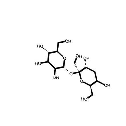 OCC1O[C@H](O[C@]2(CO)O[C@H](CO)C(O)C[C@H]2O)C(O)C(O)[C@@H]1O